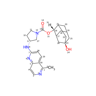 Cc1nccc2nc(N[C@@H]3CCN(C(=O)O[C@H]4C5CC6CC4C[C@](O)(C6)C5)C3)ccc12